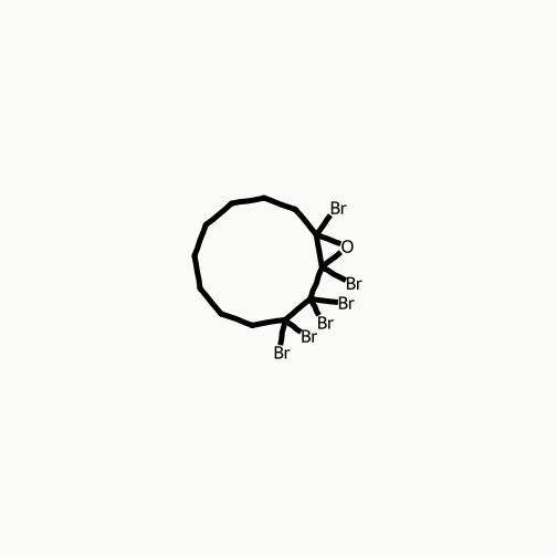 BrC1(Br)CCCCCCCCC2(Br)OC2(Br)C1(Br)Br